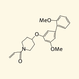 C=CC(=O)N1CCC(Oc2cc(OC)cc(-c3ccccc3OC)c2)CC1